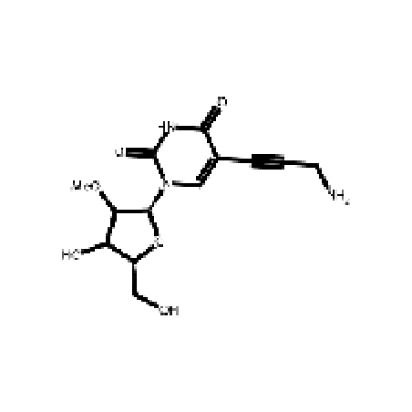 COC1C(O)[C@H](CO)O[C@@H]1n1cc(C#CCN)c(=O)[nH]c1=O